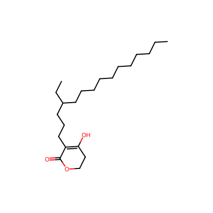 CCCCCCCCCCCC(CC)CCCC1=C(O)CCOC1=O